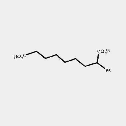 CC(=O)C(CCCCCCC(=O)O)C(=O)O